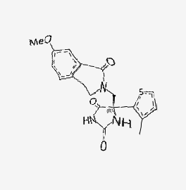 COc1ccc2c(c1)C(=O)N(C[C@@]1(c3sccc3C)NC(=O)NC1=O)C2